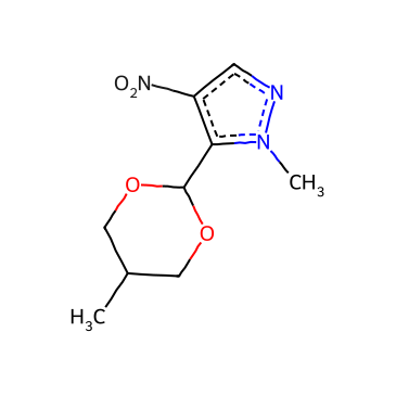 CC1COC(c2c([N+](=O)[O-])cnn2C)OC1